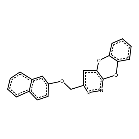 c1ccc2c(c1)Oc1cc(COc3ccc4ccccc4c3)nnc1O2